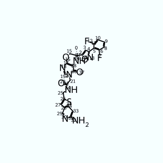 C[C@@]1(c2cc(-c3c(F)cccc3F)no2)COc2ncn(CC(=O)NCc3cc4cnc(N)cc4s3)c(=O)c2N1